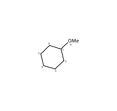 [CH]OC1CCCCC1